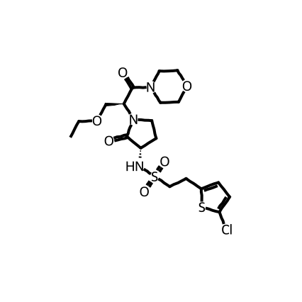 CCOC[C@@H](C(=O)N1CCOCC1)N1CC[C@H](NS(=O)(=O)CCc2ccc(Cl)s2)C1=O